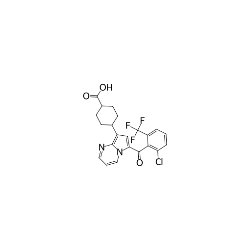 O=C(c1c(Cl)cccc1C(F)(F)F)c1cc(C2CCC(C(=O)O)CC2)c2ncccn12